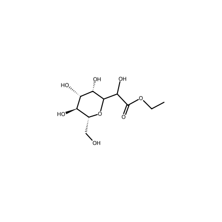 CCOC(=O)C(O)C1O[C@H](CO)[C@@H](O)[C@H](O)[C@@H]1O